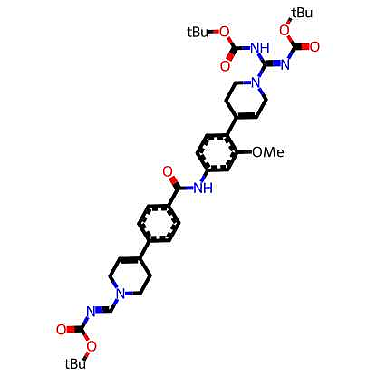 COc1cc(NC(=O)c2ccc(C3=CCN(C=NC(=O)OC(C)(C)C)CC3)cc2)ccc1C1=CCN(C(=NC(=O)OC(C)(C)C)NC(=O)OC(C)(C)C)CC1